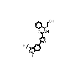 Cc1n[nH]c2ccc(-c3cc(C(=O)N[C@H](CCO)c4ccccc4)no3)cc12